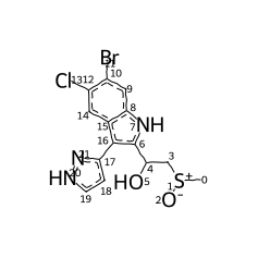 C[S+]([O-])CC(O)c1[nH]c2cc(Br)c(Cl)cc2c1-c1cc[nH]n1